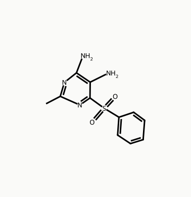 Cc1nc(N)c(N)c(S(=O)(=O)c2ccccc2)n1